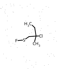 CCC(C)(Cl)CSF